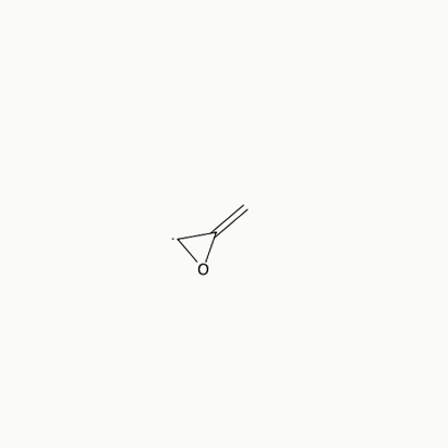 C=C1[CH]O1